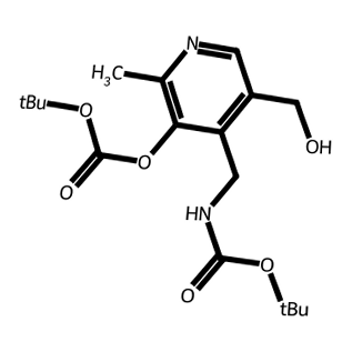 Cc1ncc(CO)c(CNC(=O)OC(C)(C)C)c1OC(=O)OC(C)(C)C